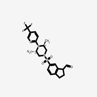 C[C@H]1CN(S(=O)(=O)c2ccc3c(c2)C(C=O)CC3)C[C@H](C)N1c1ccc(C(F)(F)F)cn1